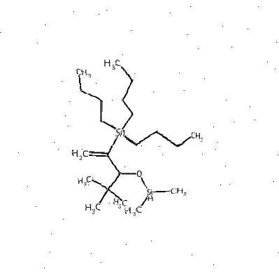 C=[C](C(O[SiH](C)C)C(C)(C)C)[Sn]([CH2]CCC)([CH2]CCC)[CH2]CCC